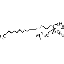 CCCCCCCCCCCCCCCCC(CC)C(Br)(CC)CC.P